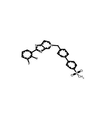 CS(=O)(=O)c1ccc(-c2ccc(Cn3ccc4nc(-c5cccc(F)c5F)nc-4c3)cc2)cc1